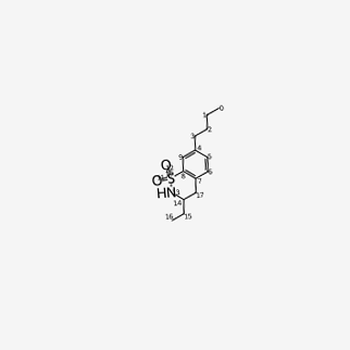 CCCCc1ccc2c(c1)S(=O)(=O)NC(CC)C2